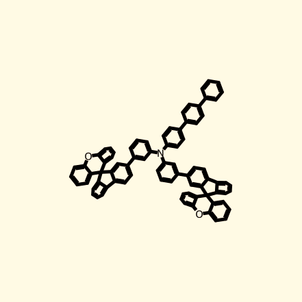 c1ccc(-c2ccc(-c3ccc(N(c4cccc(-c5ccc6c(c5)C5(c7ccccc7Oc7ccccc75)c5ccccc5-6)c4)c4cccc(-c5ccc6c(c5)C5(c7ccccc7Oc7ccccc75)c5ccccc5-6)c4)cc3)cc2)cc1